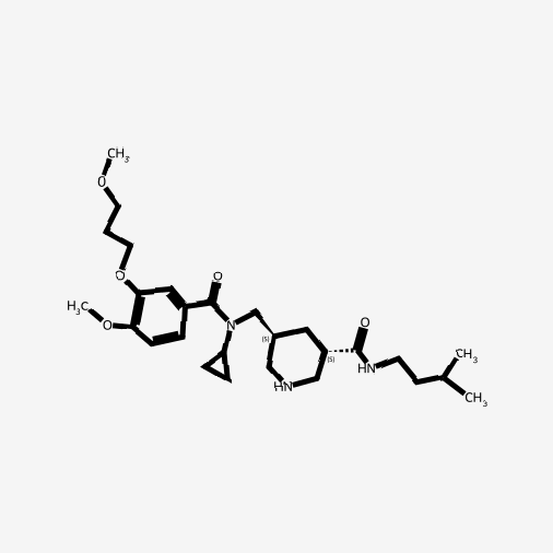 COCCCOc1cc(C(=O)N(C[C@@H]2CNC[C@@H](C(=O)NCCC(C)C)C2)C2CC2)ccc1OC